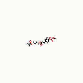 C=C(C)C(=O)OCCCCOC(=O)/C=C/c1ccc(OC(=O)OCC)cc1